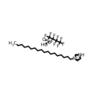 CCCCCCCCCCCCCCCCCC[n+]1cc[nH]c1.O=S(=O)(O)C(F)(F)C(F)(F)C(F)(F)C(F)(F)F